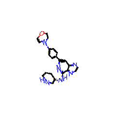 c1cnc2c(N[C@H]3CCCNC3)nc(-c3ccc(N4CCOCC4)cc3)cc2n1